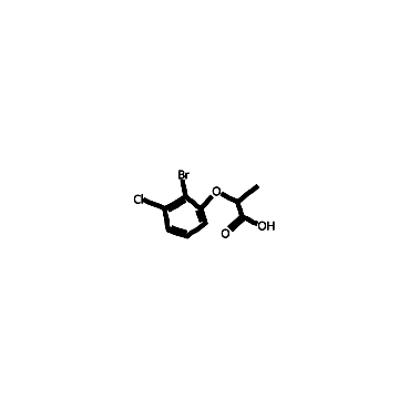 CC(Oc1cccc(Cl)c1Br)C(=O)O